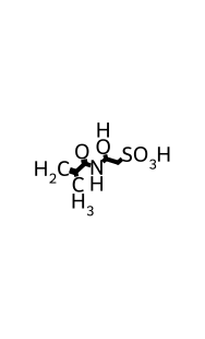 C=C(C)C(=O)NC(O)CS(=O)(=O)O